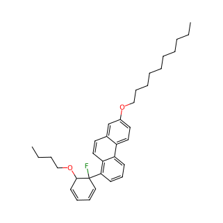 CCCCCCCCCCOc1ccc2c(ccc3c(C4(F)C=CC=CC4OCCCC)cccc32)c1